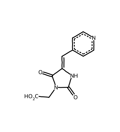 O=C(O)CN1C(=O)N/C(=C\c2ccncc2)C1=O